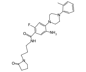 Cc1ccccc1N1CCN(c2cc(F)c(C(=O)NCCCN3CCCC3=O)cc2N)CC1